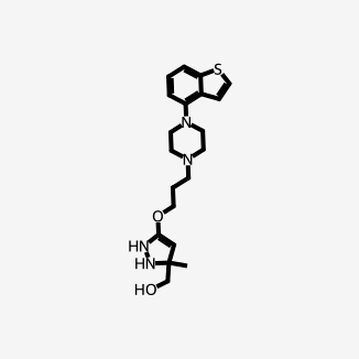 CC1(CO)C=C(OCCCN2CCN(c3cccc4sccc34)CC2)NN1